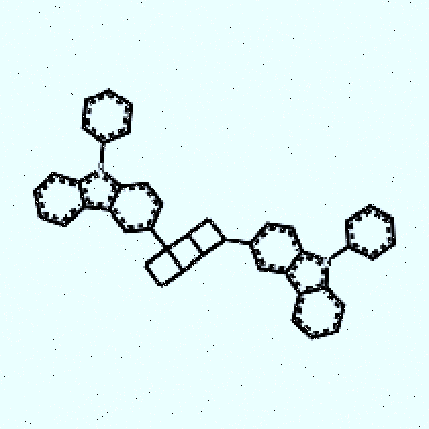 c1ccc(-n2c3ccccc3c3cc(C45C6C7C4C4C5C6C74c4ccc5c(c4)c4ccccc4n5-c4ccccc4)ccc32)cc1